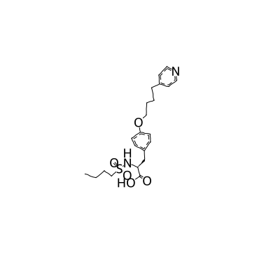 CCCCS(=O)(=O)N[C@@H](Cc1ccc(OCCCCc2ccncc2)cc1)C(=O)O